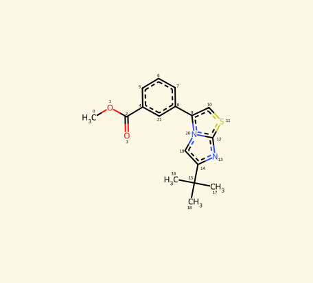 COC(=O)c1cccc(-c2csc3nc(C(C)(C)C)cn23)c1